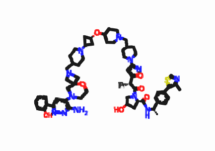 Cc1ncsc1-c1ccc([C@H](C)NC(=O)[C@@H]2C[C@@H](O)CN2C(=O)[C@@H](c2cc(N3CCC(CN4CCC(O[C@H]5C[C@H](N6CCC(CN7CC8(C7)CN(c7cc(-c9ccccc9O)nnc7N)CCO8)CC6)C5)CC4)CC3)no2)C(C)C)cc1